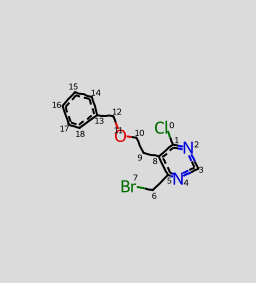 Clc1ncnc(CBr)c1CCOCc1ccccc1